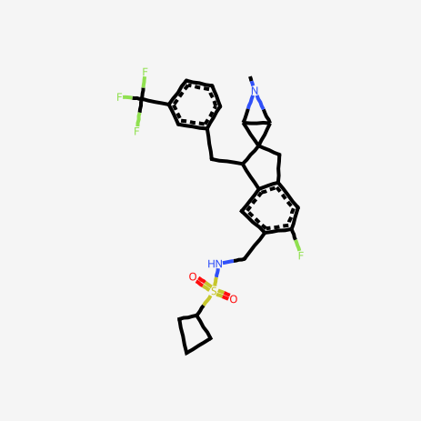 CN1C2C1C21Cc2cc(F)c(CNS(=O)(=O)C3CCC3)cc2C1Cc1cccc(C(F)(F)F)c1